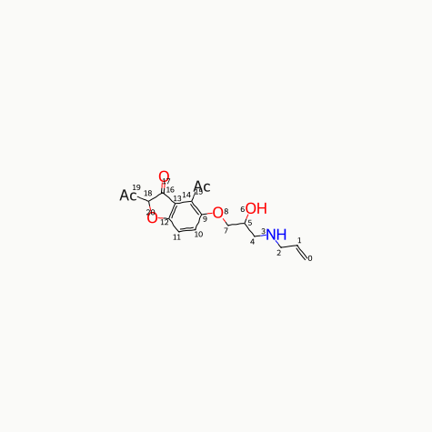 C=CCNCC(O)COc1ccc2c(c1C(C)=O)C(=O)C(C(C)=O)O2